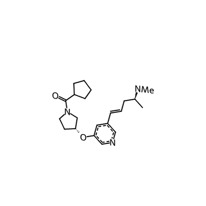 CN[C@@H](C)CC=Cc1cncc(O[C@@H]2CCN(C(=O)C3CCCC3)C2)c1